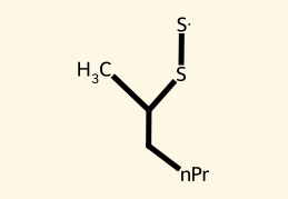 CCCCC(C)S[S]